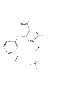 CCc1nc(Nc2cccc(C(C)COC(N)=O)c2)c(C(N)=O)nc1CC